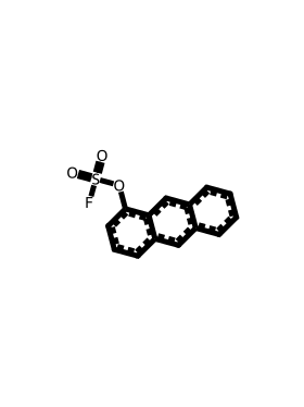 O=S(=O)(F)Oc1cccc2cc3ccccc3cc12